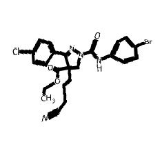 CCOC(=O)C1(CCCC#N)CN(C(=O)Nc2ccc(Br)cc2)N=C1c1ccc(Cl)cc1